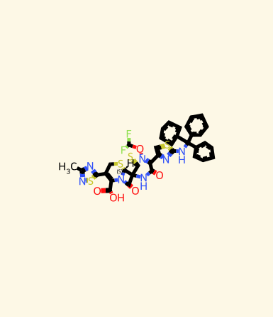 Cc1nsc(C2=C(C(=O)O)N3C(=O)C(C=S)(NC(=O)C(=NOC(F)F)c4csc(NC(c5ccccc5)(c5ccccc5)c5ccccc5)n4)[C@@H]3SC2)n1